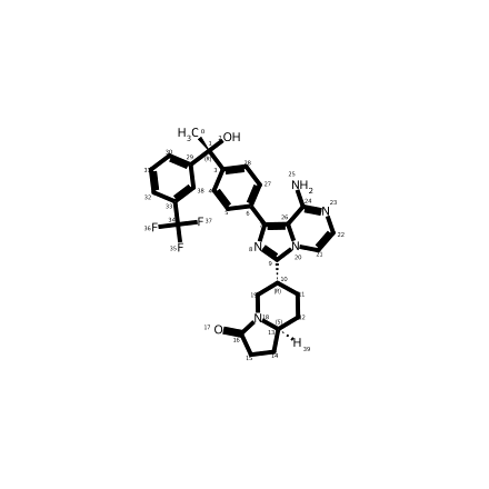 C[C@@](O)(c1ccc(-c2nc([C@@H]3CC[C@H]4CCC(=O)N4C3)n3ccnc(N)c23)cc1)c1cccc(C(F)(F)F)c1